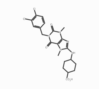 Cn1c(NC2CCC(C(=O)O)CC2)nc2c1c(=O)n(Cc1ccc(Cl)c(Cl)c1)c(=O)n2C